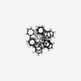 [PH2][Pd]([PH](c1ccccc1)(c1ccccc1)c1ccccc1)([PH](c1ccccc1)(c1ccccc1)c1ccccc1)([PH](c1ccccc1)(c1ccccc1)c1ccccc1)[PH](c1ccccc1)(c1ccccc1)c1ccccc1